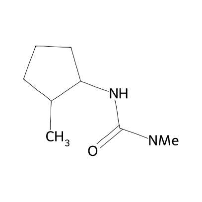 CNC(=O)NC1CCCC1C